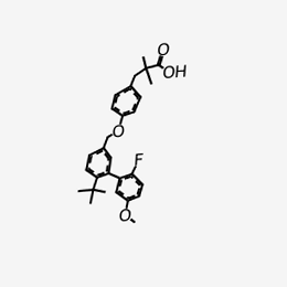 COc1ccc(F)c(-c2cc(COc3ccc(CC(C)(C)C(=O)O)cc3)ccc2C(C)(C)C)c1